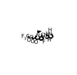 N#Cc1c(N2C[C@@H]3CCCN[C@@H]3C2)c(F)cc2c(=O)c(C(=O)OC(=O)C(F)(F)F)cn(C3CC3)c12